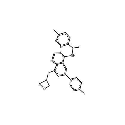 Cc1ccc([C@@H](C)Nc2ncnc3c(SC4COC4)cc(-c4ccc(F)cc4)cc23)nn1